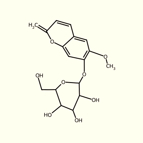 C=C1C=Cc2cc(OC)c(OC3OC(CO)C(O)C(O)C3O)cc2O1